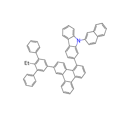 CCc1c(-c2ccccc2)cc(-c2ccc3c(c2)c2ccccc2c2cccc(-c4ccc5c6ccccc6n(-c6ccc7ccccc7c6)c5c4)c23)cc1-c1ccccc1